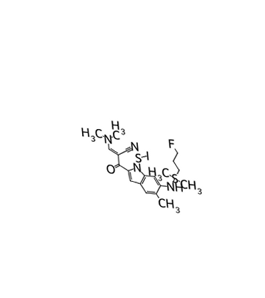 Cc1cc2cc(C(=O)/C(C#N)=C/N(C)C)n(SI)c2cc1NS(C)(C)CCCF